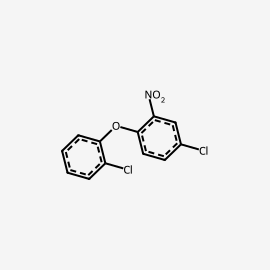 O=[N+]([O-])c1cc(Cl)ccc1Oc1ccccc1Cl